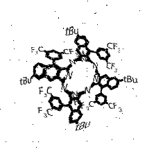 CC(C)(C)c1ccc2c(-c3cc(C(F)(F)F)cc(C(F)(F)F)c3)c3c(cc2c1)-c1nc-3nc2[nH]c(nc3nc(nc4[nH]c(n1)c1c(-c5cc(C(F)(F)F)cc(C(F)(F)F)c5)c5ccc(C(C)(C)C)cc5cc41)-c1c-3cc3cc(C(C)(C)C)ccc3c1-c1cc(C(F)(F)F)cc(C(F)(F)F)c1)c1c(-c3cc(C(F)(F)F)cc(C(F)(F)F)c3)c3ccc(C(C)(C)C)cc3cc21